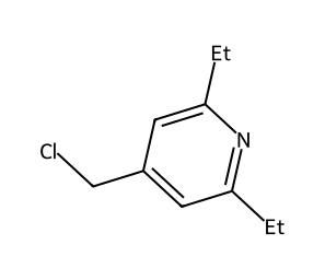 CCc1cc(CCl)cc(CC)n1